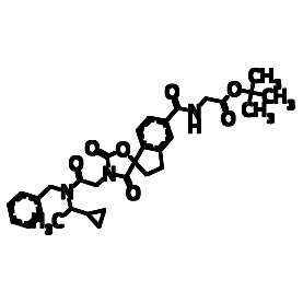 CC(C1CC1)N(Cc1ccccc1)C(=O)CN1C(=O)OC2(CCc3cc(C(=O)NCC(=O)OC(C)(C)C)ccc32)C1=O